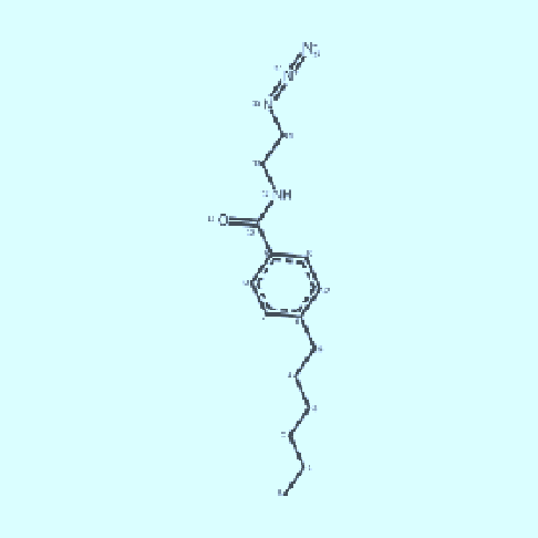 CCCCCCc1ccc(C(=O)NCCN=[N+]=[N-])cc1